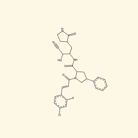 N#CC(O)C(CC1CCNC1=O)NC(=O)C1CC(c2ccccc2)CN1C(=O)/C=C/c1ccc(Cl)cc1F